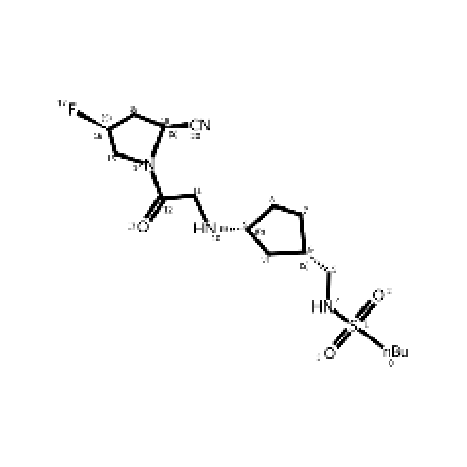 CCCCS(=O)(=O)NC[C@H]1CC[C@@H](NCC(=O)N2C[C@@H](F)C[C@H]2C#N)C1